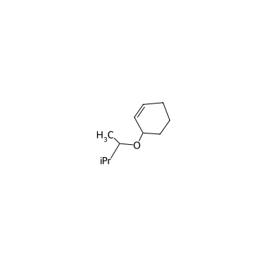 CC(C)C(C)OC1C=CCCC1